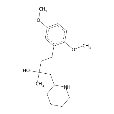 COc1ccc(OC)c(CCC(C)(O)CC2CCCCN2)c1